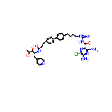 CC(=O)C(=O)[C@@H](Cc1ccncc1)NC(=O)CCc1ccc(-c2ccc(CCCCNC(=N)NC(=O)c3nc(Cl)c(N)nc3N)cc2)cc1